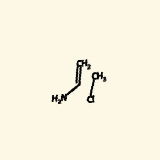 C=CN.CCl